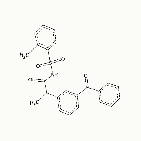 Cc1ccccc1S(=O)(=O)NC(=O)C(C)c1cccc(C(=O)c2ccccc2)c1